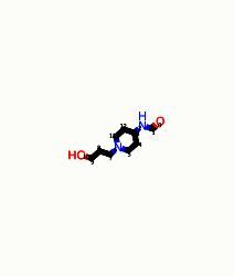 O=[C]NC1CCN(CCCO)CC1